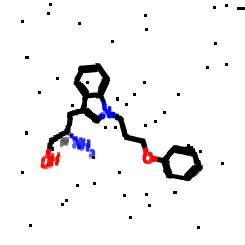 N[C@H](CO)Cc1cn(CCCOc2ccccc2)c2ccccc12